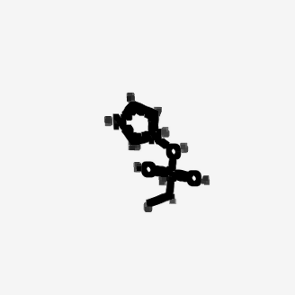 CCS(=O)(=O)On1ccnc1